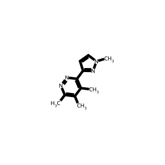 Cc1nnc(-c2ccn(C)n2)c(C)c1C